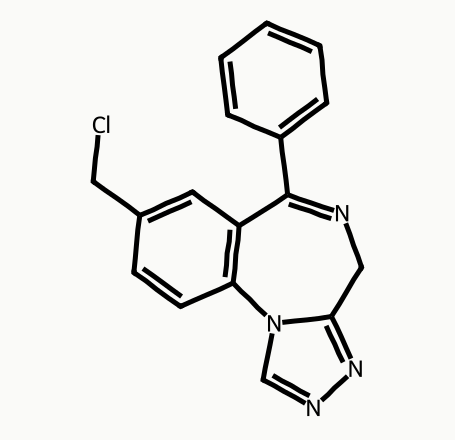 ClCc1ccc2c(c1)C(c1ccccc1)=NCc1nncn1-2